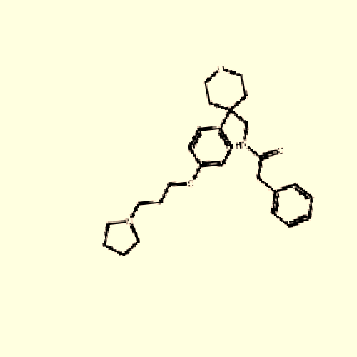 O=C(Cc1ccccc1)NCC1(c2ccc(OCCCN3CCCC3)cc2)CCOCC1